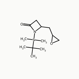 CC(C)(C)[Si](C)(C)N1C(=O)CC1CC1CO1